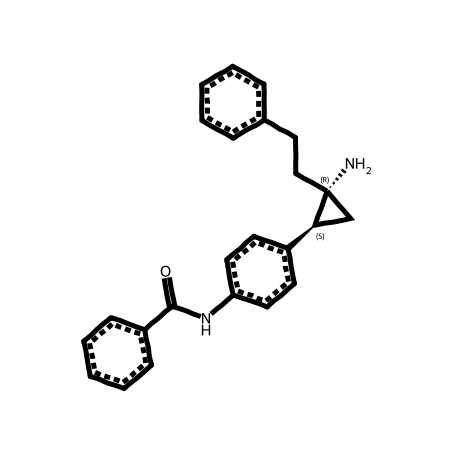 N[C@]1(CCc2ccccc2)C[C@H]1c1ccc(NC(=O)c2ccccc2)cc1